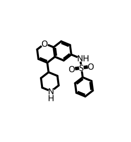 O=S(=O)(Nc1ccc2c(c1)C(C1CCNCC1)=CCO2)c1ccccc1